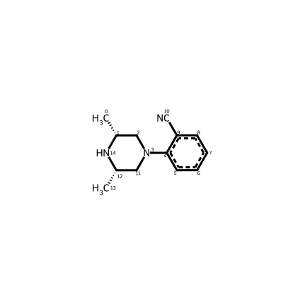 C[C@@H]1CN(c2ccccc2C#N)C[C@H](C)N1